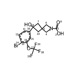 O=C(O)N1CC2(C1)CC(O)(c1ccc(Br)c(OC(F)(F)F)c1)C2